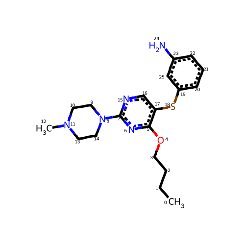 CCCCOc1nc(N2CCN(C)CC2)ncc1Sc1cccc(N)c1